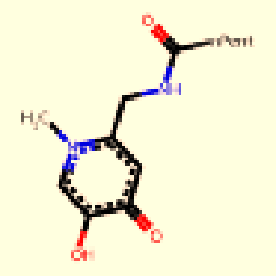 CCCCCC(=O)NCc1cc(=O)c(O)cn1C